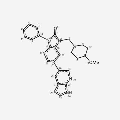 COC1CCC(Cn2c(=O)n(-c3ccccc3)c3ncc(-c4cnc5[nH]ccc5c4)cc32)CC1